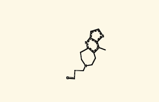 Cc1c2c(nc3ccsc13)CCN(CCC=O)CC2